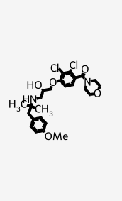 COc1ccc(CC(C)(C)NC[C@@H](O)COc2ccc(C(=O)N3CCOCC3)c(Cl)c2Cl)cc1